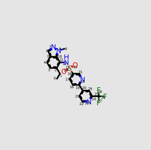 CCc1ccc2cnn(C)c2c1NS(=O)(=O)c1ccc(-c2ccnc(C(F)(F)F)c2)nc1